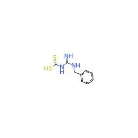 N=C(NCc1ccccc1)NC(=S)S